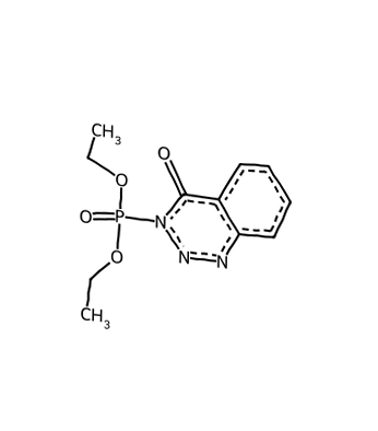 CCOP(=O)(OCC)n1nnc2ccccc2c1=O